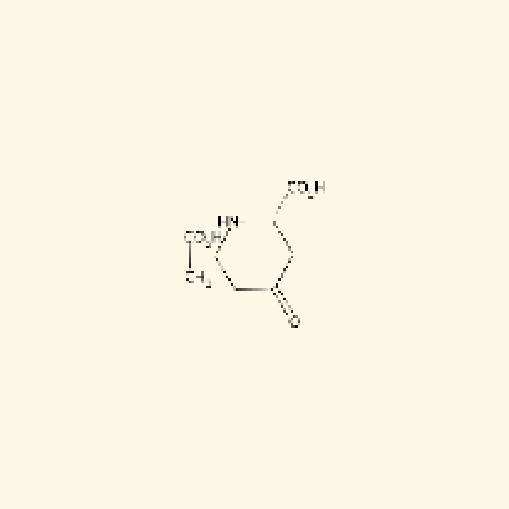 CC(=O)O.O=C1CCN[C@H](C(=O)O)C1